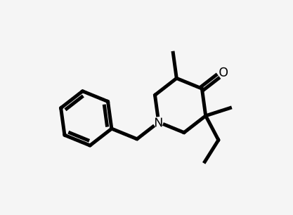 CCC1(C)CN(Cc2ccccc2)CC(C)C1=O